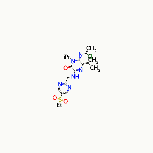 C=C(Cl)/N=C1\C(=C(C)C)N=C(NCc2ncc(S(=O)(=O)CC)cn2)C(=O)N1C(C)C